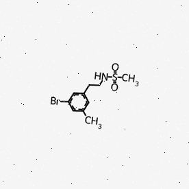 Cc1cc(Br)cc(CCNS(C)(=O)=O)c1